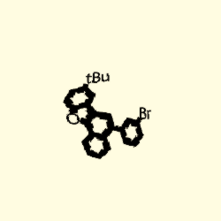 CC(C)(C)c1ccc2oc3c4ccccc4c(-c4cccc(Br)c4)cc3c2c1